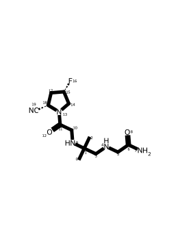 CC(C)(CNCC(N)=O)NCC(=O)N1C[C@@H](F)C[C@H]1C#N